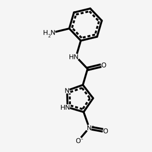 Nc1ccccc1NC(=O)c1cc([N+](=O)[O-])[nH]n1